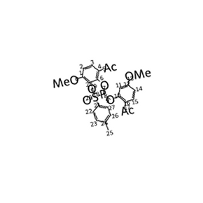 COc1ccc(C(C)=O)c(OP(Oc2cc(OC)ccc2C(C)=O)S(=O)(=O)c2ccc(C)cc2)c1